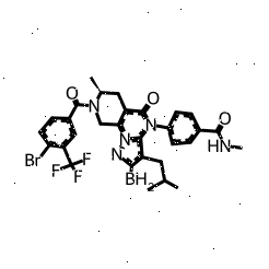 Bc1nn2c3c(c(=O)n(-c4ccc(C(=O)NC)cc4)c2c1CC(C)C)C[C@H](C)N(C(=O)c1ccc(Br)c(C(F)(F)F)c1)C3